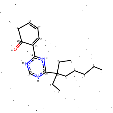 CCCCCC(CC)(CC)c1ncnc(C2=CC=CCC2=O)n1